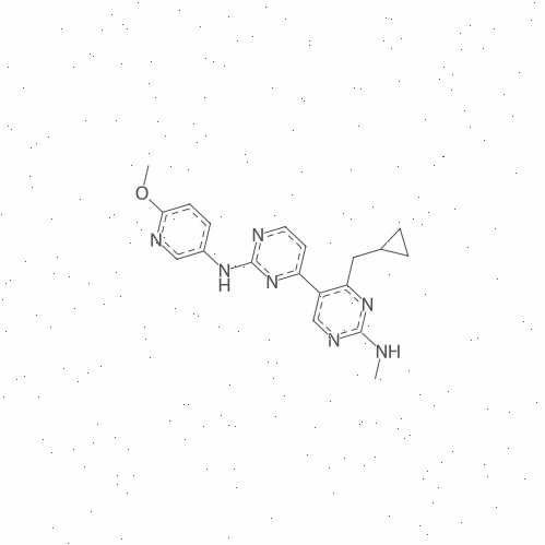 CNc1ncc(-c2ccnc(Nc3ccc(OC)nc3)n2)c(CC2CC2)n1